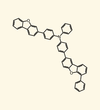 c1ccc(-c2cccc3c2oc2ccc(-c4ccc(N(c5ccccc5)c5ccc(-c6ccc7c(c6)oc6ccccc67)cc5)cc4)cc23)cc1